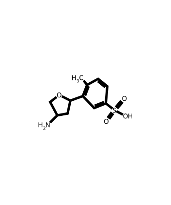 Cc1ccc(S(=O)(=O)O)cc1C1CC(N)CO1